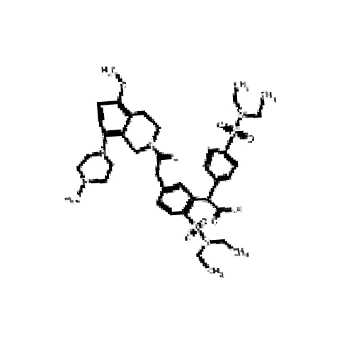 CCN(CC)S(=O)(=O)c1ccc(C(C(=O)O)c2cc(CC(=O)N3CCc4c(OC)ccc(N5CCN(C)CC5)c4C3)ccc2S(=O)(=O)N(CC)CC)cc1